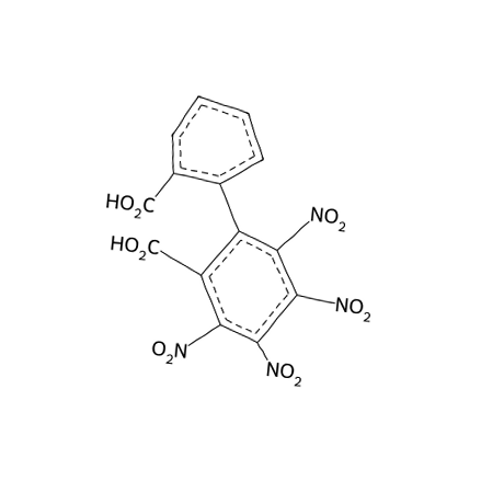 O=C(O)c1ccccc1-c1c(C(=O)O)c([N+](=O)[O-])c([N+](=O)[O-])c([N+](=O)[O-])c1[N+](=O)[O-]